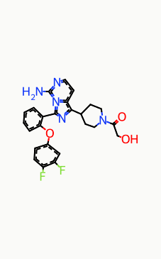 Nc1nccc2c(C3CCN(C(=O)CO)CC3)nc(-c3ccccc3Oc3ccc(F)c(F)c3)n12